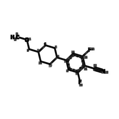 COCC1CCC(c2cc(F)c(C#N)c(F)c2)CC1